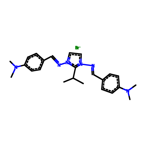 CC(C)c1n(N=Cc2ccc(N(C)C)cc2)cc[n+]1N=Cc1ccc(N(C)C)cc1.[Br-]